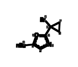 CCCCc1cnc(C2(Br)CC2)o1